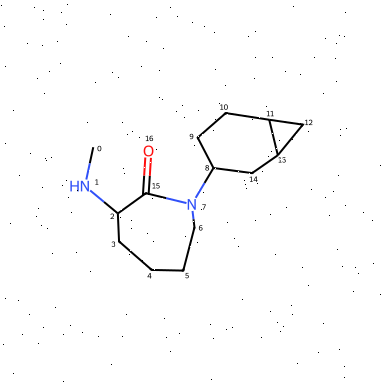 CNC1CCCCN(C2CCC3CC3C2)C1=O